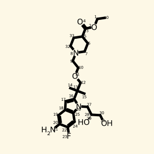 CCOC(=O)C1CCN(CCOCC(C)(C)c2cc3cc(N)c(F)cc3n2C[C@@H](O)CO)CC1